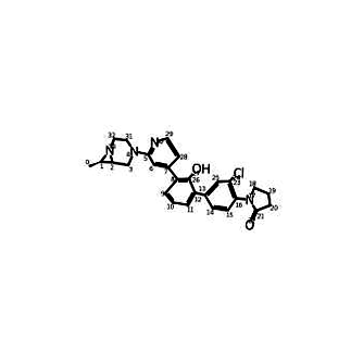 C[C@@H]1C2CN(c3cc(-c4cccc(-c5ccc(N6CCCC6=O)c(Cl)c5)c4O)ccn3)CCN21